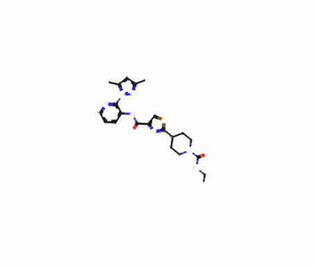 CCOC(=O)CNC(=O)N1CCC(c2nc(C(=O)Nc3cccnc3-n3nc(C)cc3C)cs2)CC1